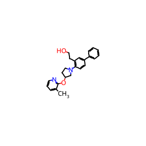 Cc1cccnc1O[C@H]1CCN(c2ccc(-c3ccccc3)cc2CCO)C1